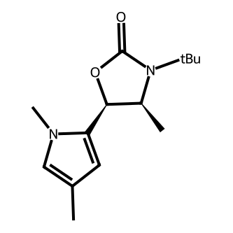 Cc1cc([C@H]2OC(=O)N(C(C)(C)C)[C@H]2C)n(C)c1